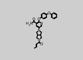 CC=CC(=O)N1CC2CN(c3cnc(Oc4ccc(Oc5ccccc5)cc4)c(C(N)=O)c3)CC2C1